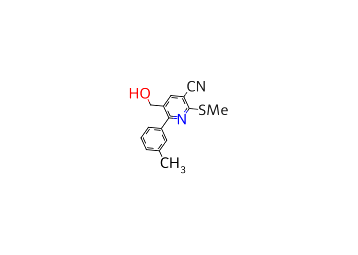 CSc1nc(-c2cccc(C)c2)c(CO)cc1C#N